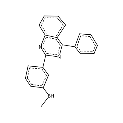 CBc1cccc(-c2nc(-c3ccccc3)c3ccccc3n2)c1